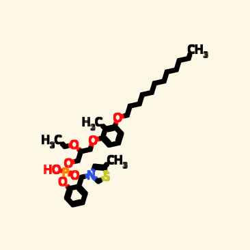 CCCCCCCCCCCCOc1cccc(OCC(COP(=O)(O)Oc2ccccc2CN2C=C(C)SC2)OCC)c1C